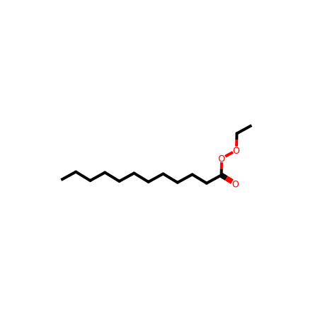 CCCCCCCCCCCC(=O)OOCC